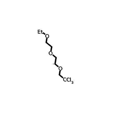 CCOCCOC[CH]OCC(Cl)(Cl)Cl